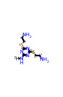 [2H]Nc1nc(SCCN)nc(SCCN)n1